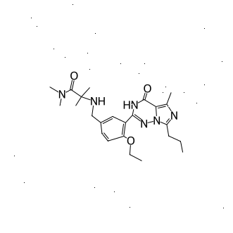 CCCc1nc(C)c2c(=O)[nH]c(-c3cc(CNC(C)(C)C(=O)N(C)C)ccc3OCC)nn12